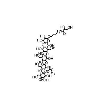 CC(=O)N[C@H]1C(O[C@@H]2OC(CO)[C@H](O)C(O)[C@@H]2O)[C@@H](O)C(CO)O[C@H]1O[C@@H]1C(O)[C@@H](O[C@H]2C(CO)O[C@@H](O[C@@H]3C(CO)O[C@@H](OCCCCCNC(=O)[C@H](O)CO)[C@@H](O)C3O)[C@@H](O)C2O)OC(CO)[C@@H]1O